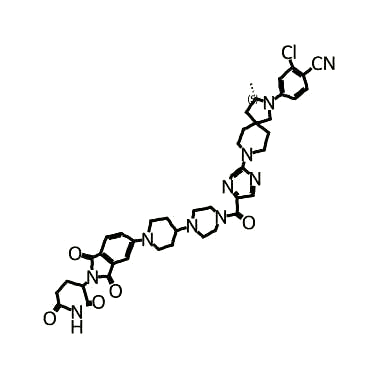 C[C@H]1CC2(CCN(c3cnc(C(=O)N4CCN(C5CCN(c6ccc7c(c6)C(=O)N(C6CCC(=O)NC6=O)C7=O)CC5)CC4)cn3)CC2)CN1c1ccc(C#N)c(Cl)c1